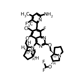 Cc1cc(N)nc(-c2c(Cl)c3c4c(nc(OC[C@@]56CCCN5C[C@H](OC(F)F)C6)nc4c2F)N2C[C@H]4CC[C@H](N4)[C@H]2CO3)c1C(F)(F)F